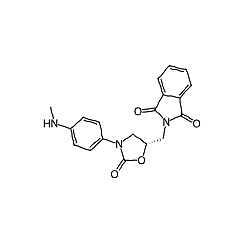 CNc1ccc(N2C[C@H](CN3C(=O)c4ccccc4C3=O)OC2=O)cc1